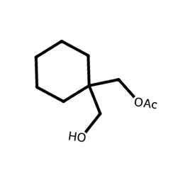 CC(=O)OCC1(CO)CCCCC1